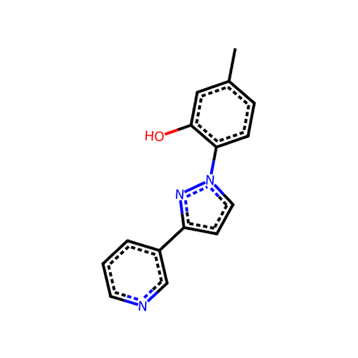 Cc1ccc(-n2ccc(-c3cccnc3)n2)c(O)c1